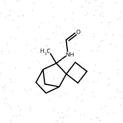 CC1(NC=O)C2CCC(C2)C12CCC2